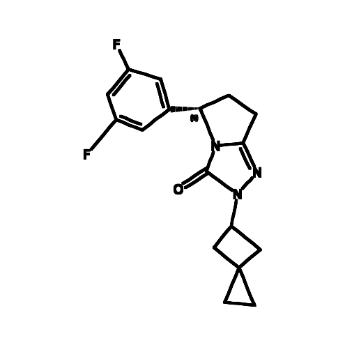 O=c1n(C2CC3(CC3)C2)nc2n1[C@H](c1cc(F)cc(F)c1)CC2